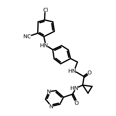 N#Cc1cc(Cl)ccc1Nc1ccc(CNC(=O)C2(NC(=O)c3cncnc3)CC2)cc1